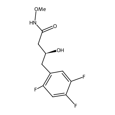 CONC(=O)C[C@@H](O)Cc1cc(F)c(F)cc1F